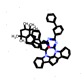 CC1CC(C)(C)c2ccc(-c3cccc(-n4c5ccccc5c5ccc6c7ccccc7n(-c7nc(-c8cccc(-c9ccccc9)c8)nc(-c8cccc9ccccc89)n7)c6c54)c3)cc2C1(C)C